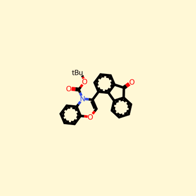 CC(C)(C)OC(=O)N1C(c2cccc3c2-c2ccccc2C3=O)=COc2ccccc21